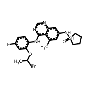 Cc1cc(N[SH]2(=O)CCCC2)cc2ncnc(Nc3ccc(F)cc3OC(C)C(C)C)c12